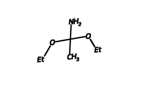 CCOC(C)(N)OCC